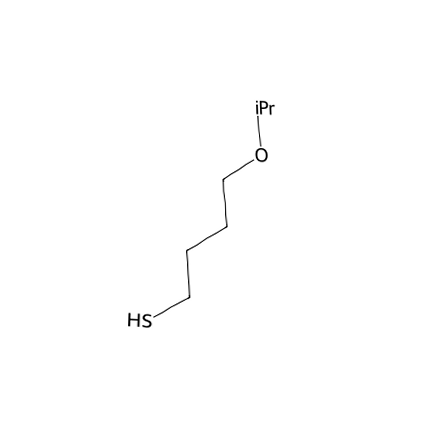 CC(C)OCCCCS